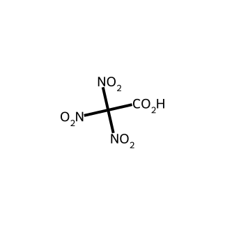 O=C(O)C([N+](=O)[O-])([N+](=O)[O-])[N+](=O)[O-]